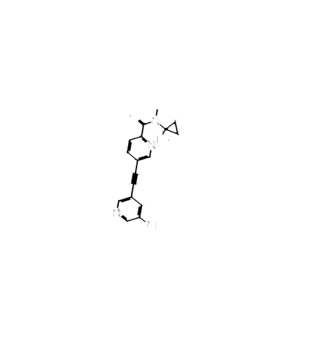 CN(C(=O)c1ccc(C#Cc2cncc(Cl)c2)cn1)C1(C(F)(F)F)CC1